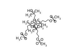 C[Si](C)(O)CCC[Si](O[Si](C)(C)CCCOS(C)(=O)=O)(O[Si](C)(C)CCCOS(C)(=O)=O)O[Si](C)(C)CCCOS(C)(=O)=O